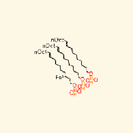 CCCCCCCCC=CCCCCCCCCO[PH](=O)[O-].CCCCCCCCC=CCCCCCCCCO[PH](=O)[O-].CCCCCCCCC=CCCCCCCCCO[PH](=O)[O-].[Fe+3]